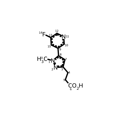 Cn1nc(CCC(=O)O)cc1-c1cncc(F)c1